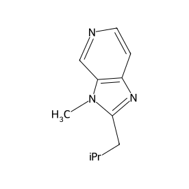 CC(C)Cc1nc2ccncc2n1C